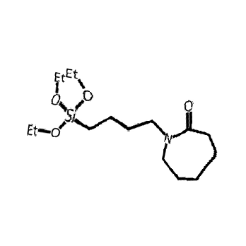 CCO[Si](CCCCN1CCCCCC1=O)(OCC)OCC